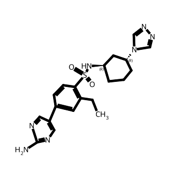 CCc1cc(-c2cnc(N)nc2)ccc1S(=O)(=O)N[C@@H]1CCC[C@@H](n2cnnc2)C1